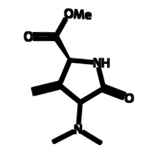 C=C1C(N(C)C)C(=O)N[C@@H]1C(=O)OC